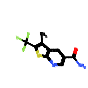 Cc1c(C(F)(F)F)sc2ncc(C(N)=O)cc12